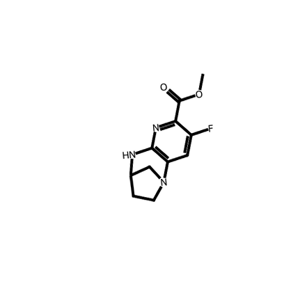 COC(=O)c1nc2c(cc1F)N1CCC(C1)N2